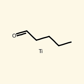 CCCCC=O.[Ti]